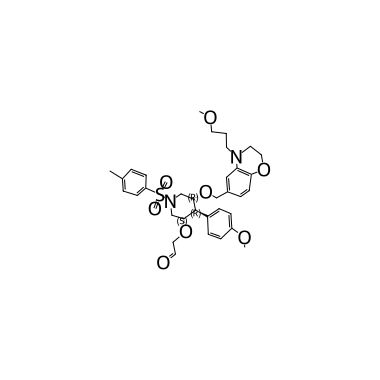 COCCCN1CCOc2ccc(CO[C@H]3CN(S(=O)(=O)c4ccc(C)cc4)C[C@@H](OCC=O)[C@@H]3c3ccc(OC)cc3)cc21